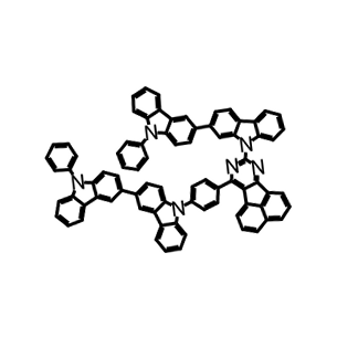 c1ccc(-n2c3ccccc3c3cc(-c4ccc5c(c4)c4ccccc4n5-c4ccc(-c5nc(-n6c7ccccc7c7ccc(-c8ccc9c(c8)c8ccccc8n9-c8ccccc8)cc76)nc6c5-c5cccc7cccc-6c57)cc4)ccc32)cc1